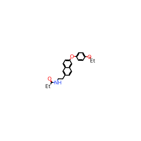 CCOc1ccc(Oc2ccc3cc(CCNC(=O)CC)ccc3c2)cc1